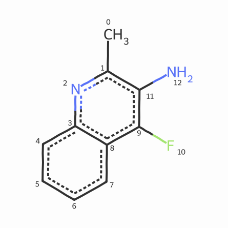 Cc1nc2ccccc2c(F)c1N